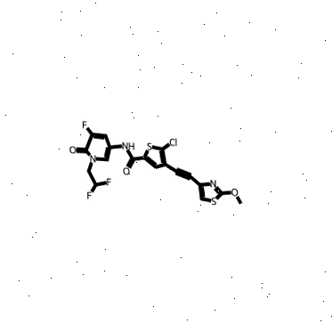 COc1nc(C#Cc2cc(C(=O)Nc3cc(F)c(=O)n(CC(F)F)c3)sc2Cl)cs1